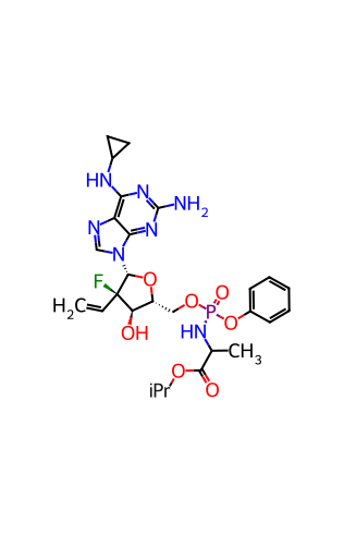 C=C[C@@]1(F)[C@H](O)[C@@H](CO[P@](=O)(NC(C)C(=O)OC(C)C)Oc2ccccc2)O[C@H]1n1cnc2c(NC3CC3)nc(N)nc21